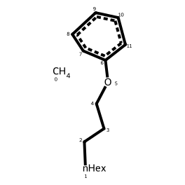 C.CCCCCCCCCOc1ccccc1